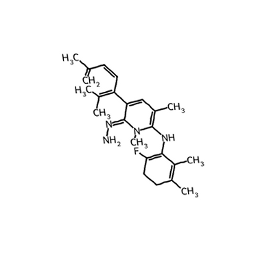 C=C(C)/C=C\C(=C(C)C)c1cc(C)c(NC2=C(F)CCC(C)=C2C)n(C)/c1=N\N